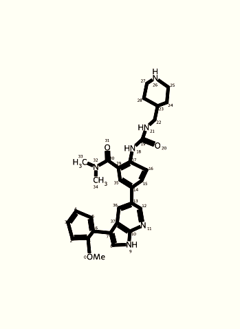 COc1ccccc1-c1c[nH]c2ncc(-c3ccc(NC(=O)NCC4CCNCC4)c(C(=O)N(C)C)c3)cc12